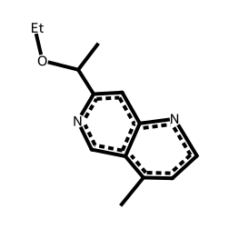 CCOC(C)c1cc2nccc(C)c2cn1